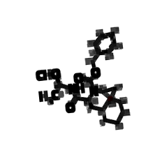 C[C@@H](C=O)NC(=O)[C@H](CC1CCCCC1)N(C(=O)OCc1ccccc1)C1CC1